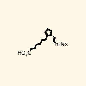 CCCCCCC=C[C@H]1CCC=C1CCCCCCC(=O)O